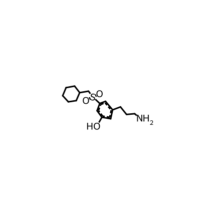 NCCCc1cc(O)cc(S(=O)(=O)CC2CCCCC2)c1